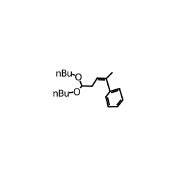 CCCCOC(C/C=C(/C)c1ccccc1)OCCCC